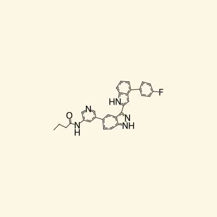 CCCC(=O)Nc1cncc(-c2ccc3[nH]nc(-c4cc5c(-c6ccc(F)cc6)cccc5[nH]4)c3c2)c1